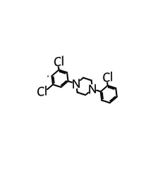 Clc1[c]c(Cl)cc(N2CCN(c3ccccc3Cl)CC2)c1